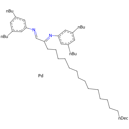 CCCCCCCCCCCCCCCCCCCCCCCCC(C=Nc1cc(CCCC)cc(CCCC)c1)=Nc1cc(CCCC)cc(CCCC)c1.[Pd]